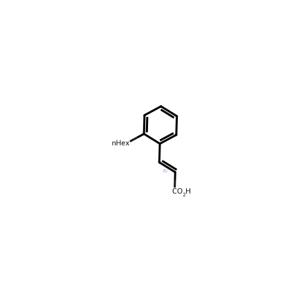 CCCCCCc1ccccc1/C=C/C(=O)O